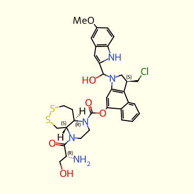 COc1ccc2[nH]c(C(O)N3C[C@@H](CCl)c4c3cc(OC(=O)N3CCN(C(=O)[C@H](N)CO)[C@@H]5CSSCC[C@H]53)c3ccccc43)cc2c1